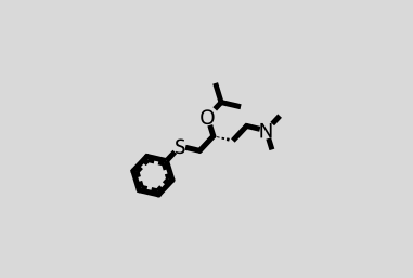 CC(C)O[C@H](CCN(C)C)CSc1ccccc1